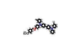 CCC(C)c1ccc(COc2ccc(N(c3ccc(-c4ccc(N(c5ccccc5)c5cccc(C)c5)cc4)cc3)c3cccc(C)c3)cc2)cc1